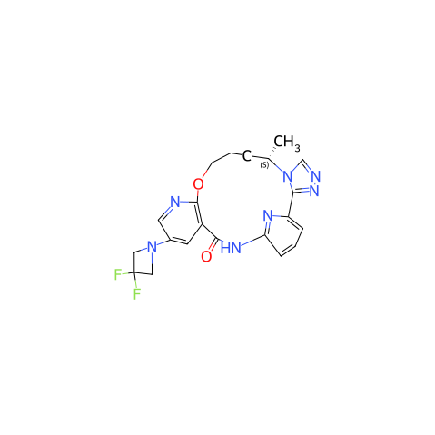 C[C@H]1CCCOc2ncc(N3CC(F)(F)C3)cc2C(=O)Nc2cccc(n2)-c2nncn21